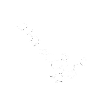 COC(=O)N[C@H]1CCC[C@@H]1[C@](CN1CCC1)(c1cccc(F)c1)C1CCN(CC2(O)CN(c3ccc(S(=O)(=O)[C@@H]4CCOC4)cc3)C2)CC1